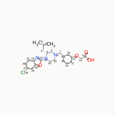 CC(C)C[C@@H]1CN(Cc2cccc(OCC(=O)O)c2)CCN1c1nc2ccc(Cl)cc2o1